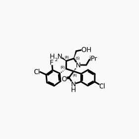 CC(C)CN1[C@H](CO)[C@H](N)[C@@H](c2cccc(Cl)c2F)[C@@]12C(=O)Nc1cc(Cl)ccc12